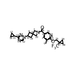 Cc1cc(C(=O)N2CC3(CC(n4cnc(C5CC5)n4)C3)C2)cnc1OCC1(C(F)(F)F)CC1